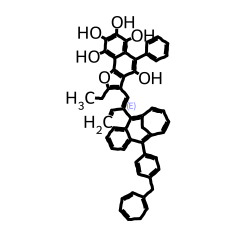 C=C/C(=C\c1c(CC)oc2c1c(O)c(-c1ccccc1)c1c(O)c(O)c(O)c(O)c12)C1=C2C=CC=CC(=C(c3ccc(CC4=CCC=CC=C4)cc3)c3ccccc31)C2